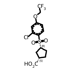 O=C(O)[C@H]1CC[C@@H](S(=O)(=O)c2ccc(OCC(F)(F)F)cc2Cl)C1